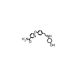 NC(=O)c1ccc(Oc2ccc(CCNC3CCC(O)CC3)cc2)nc1